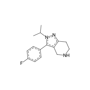 CC(C)n1nc2c(c1-c1ccc(F)cc1)CNCC2